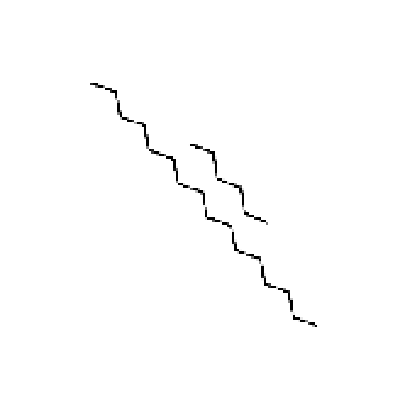 CCCCCC.CCCCCCCCCCCCCCCC